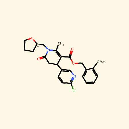 COc1ccccc1COC(=O)C1=C(C)N(C[C@H]2CCCO2)C(=O)CC1c1ccc(Cl)nc1